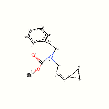 CC(C)(C)OC(=O)N(C/C=C\C1CC1)Cc1ccccc1